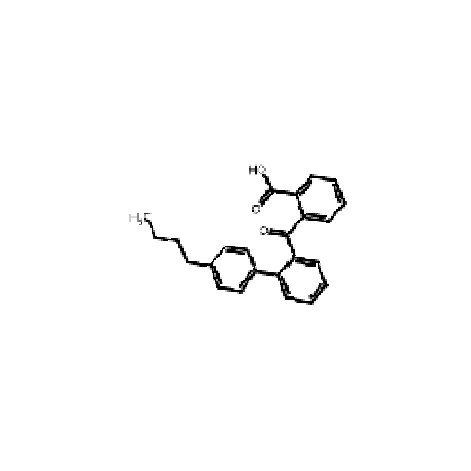 CCCCc1ccc(-c2ccccc2C(=O)c2ccccc2C(=O)O)cc1